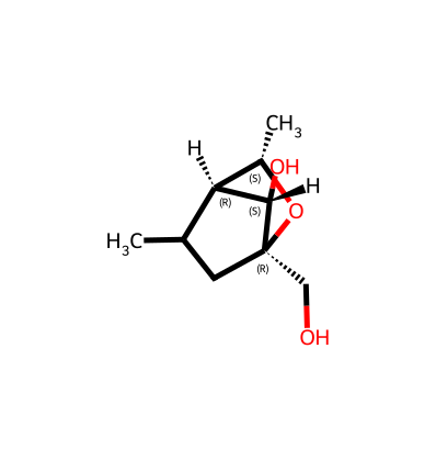 CC1C[C@]2(CO)O[C@@H](C)[C@H]1[C@@H]2O